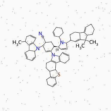 CC1CC=CC2=C1C1C=CC=CC1N2C1C=C(n2c3c(c4c2CCC2C5=C(C=CCC5)SC42)CCC=C3)C([C@@H]2C=CC(C3C=C4C(CC3)C3=CCCCC3C4(C)C)N2C2C=CCCC2)CC1C#N